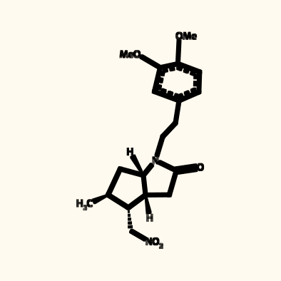 COc1ccc(CCN2C(=O)C[C@@H]3[C@H](C[N+](=O)[O-])[C@@H](C)C[C@@H]32)cc1OC